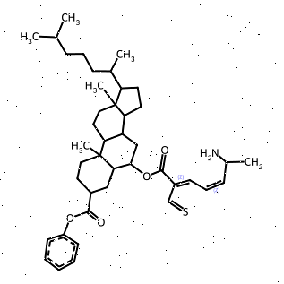 CC(N)/C=C\C=C(/C=S)C(=O)OC1CC2C3CCC(C(C)CCCC(C)C)C3(C)CCC2C2(C)CCC(C(=O)Oc3ccccc3)CC12